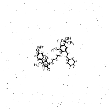 CCCc1cc(C(O)(C(F)(F)F)C(F)(F)F)cc(CCC2CCCCC2)c1OCCCCN1C(=O)NC(C)(c2ccc(OC(C)C)cc2)C1=O